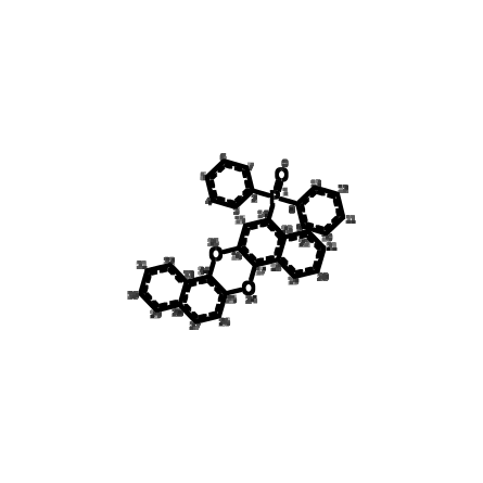 O=P(c1ccccc1)(c1ccccc1)c1cc2c(c3ccccc13)Oc1ccc3ccccc3c1O2